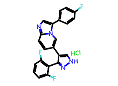 Cl.Fc1ccc(-c2cnc3ccc(-c4c[nH]nc4-c4c(F)cccc4F)cn23)cc1